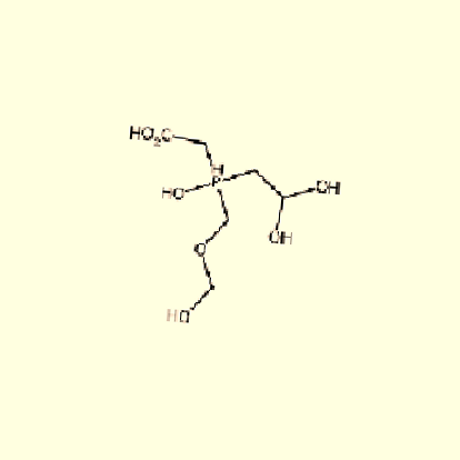 O=C(O)C[PH](O)(COCO)CC(O)O